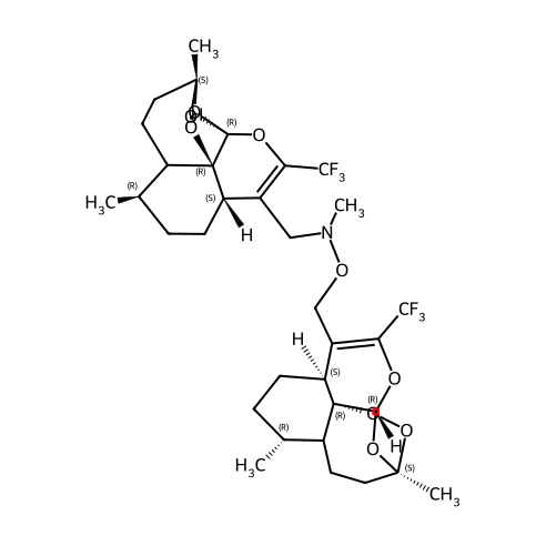 C[C@@H]1CC[C@H]2C(CON(C)CC3=C(C(F)(F)F)O[C@@H]4O[C@]5(C)CCC6[C@H](C)CC[C@@H]3[C@]64OO5)=C(C(F)(F)F)O[C@@H]3O[C@]4(C)CCC1[C@]32OO4